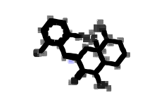 CC1C(=O)/C(=C/c2c(F)cccc2Cl)C[C@@]2(C)C1CCC[C@@H]2O